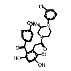 CCc1c(O)cc(O)c(C(=O)c2ccc(OC)cc2)c1CC(=O)N1CCN(c2cccc(Cl)c2)C(C=O)C1